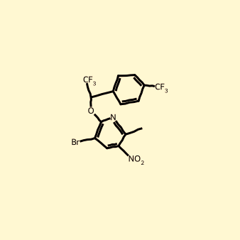 Cc1nc(OC(c2ccc(C(F)(F)F)cc2)C(F)(F)F)c(Br)cc1[N+](=O)[O-]